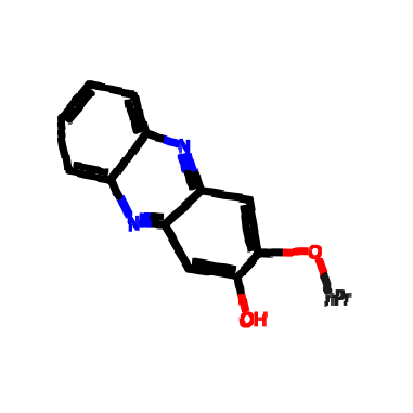 CCCOc1cc2nc3ccccc3nc2cc1O